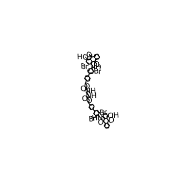 O=C(NCNC(=O)OCc1ccc(-c2cc(Br)c(Nc3ccc(O)c4c3C(=O)c3ccccc3C4=O)c(Br)c2)cc1)OCc1ccc(-c2cc(Br)c(Nc3ccc(O)c4c3C(=O)c3ccccc3C4=O)c(Br)c2)cc1